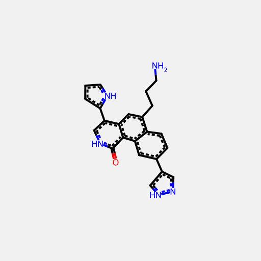 NCCCc1cc2c(-c3ccc[nH]3)c[nH]c(=O)c2c2cc(-c3cn[nH]c3)ccc12